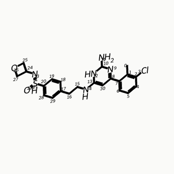 Cc1c(Cl)cccc1C1=NC(N)NC(NCCc2ccc([SH](=O)=NC3COC3)cc2)=C1